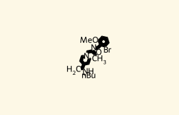 C=C(NCCCC)C1CCN(Cc2nc(-c3c(Br)cccc3OC)oc2C)CC1